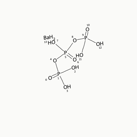 O=P(O)(O)OP(=O)(O)OP(=O)(O)O.[BaH2]